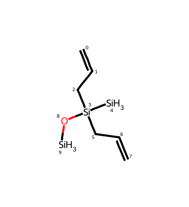 C=CC[Si]([SiH3])(CC=C)O[SiH3]